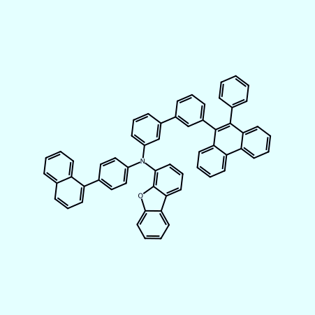 c1ccc(-c2c(-c3cccc(-c4cccc(N(c5ccc(-c6cccc7ccccc67)cc5)c5cccc6c5oc5ccccc56)c4)c3)c3ccccc3c3ccccc23)cc1